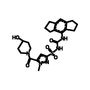 Cn1nc(S(=O)(=O)NC(=O)Nc2c3c(cc4c2CCC4)CCC3)cc1C(=O)N1CCC(O)CC1